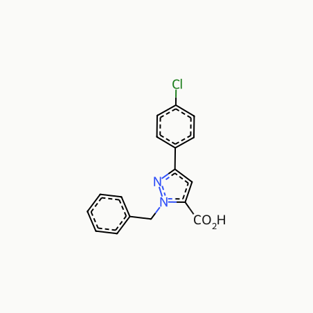 O=C(O)c1cc(-c2ccc(Cl)cc2)nn1Cc1ccccc1